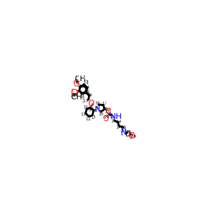 COc1ccc(CCO[C@@H]2CCCC[C@H]2N2CC[C@@H](OC(=O)NCCCCN=C=O)C2)cc1OC